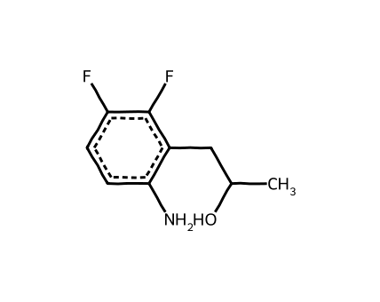 CC(O)Cc1c(N)ccc(F)c1F